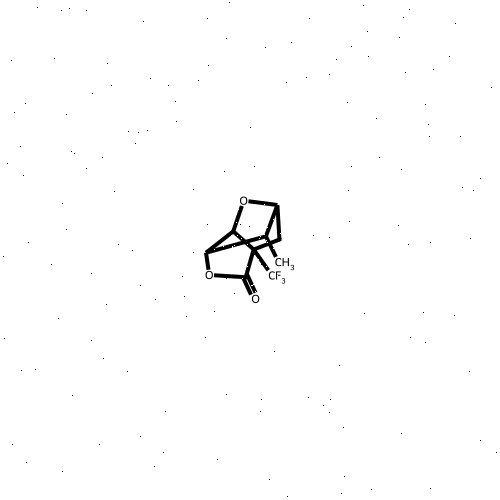 CC1C2CC3(C(F)(F)F)C(=O)OC1C3O2